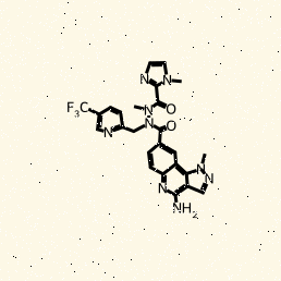 CN(C(=O)c1nccn1C)N(Cc1ccc(C(F)(F)F)cn1)C(=O)c1ccc2nc(N)c3cnn(C)c3c2c1